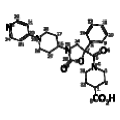 O=C(O)C1CCN(C(=O)C2(c3ccccc3)CN(C3CCN(c4ccncc4)CC3)C(=O)O2)CC1